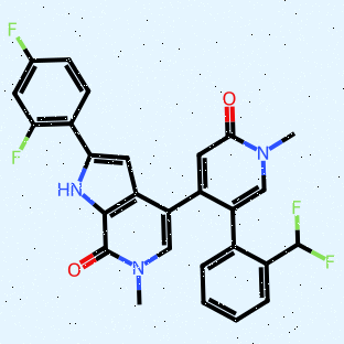 Cn1cc(-c2ccccc2C(F)F)c(-c2cn(C)c(=O)c3[nH]c(-c4ccc(F)cc4F)cc23)cc1=O